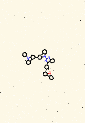 c1ccc(-n2c3ccccc3c3cc(-c4ccc5c(c4)c4ccccc4n5-c4nc(-c5ccc(-c6cccc7c6oc6ccccc67)cc5)c5ccccc5n4)ccc32)cc1